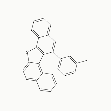 Cc1cccc(-c2cc3ccccc3c3sc4ccc5ccccc5c4c23)c1